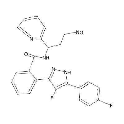 O=NCCC(NC(=O)c1ccccc1-c1n[nH]c(-c2ccc(F)cc2)c1F)c1ccccn1